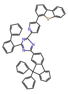 c1ccc(-c2ccccc2-c2nc(-c3ccc4c(c3)C(c3ccccc3)(c3ccccc3)c3ccccc3-4)nc(-c3ccc(-c4cccc5c4sc4ccccc45)cn3)n2)cc1